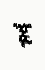 Nc1nc(Cl)cc(-c2cnc(Cl)c(Cl)c2)n1